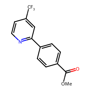 COC(=O)c1ccc(-c2cc(C(F)(F)F)ccn2)cc1